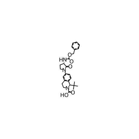 CC(C)(C)C1c2ccc(N3CC[C@H](NC(=O)OCc4ccccc4)C3=O)cc2CCN1C(=O)O